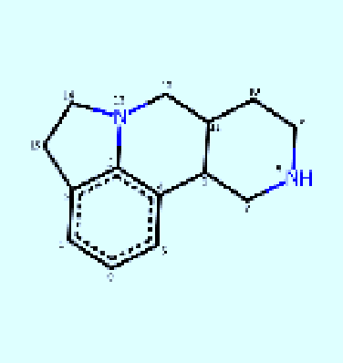 c1cc2c3c(c1)C1CNCCC1CN3CC2